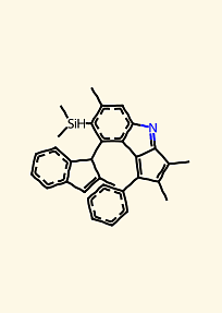 CC1=Cc2ccccc2C1c1c2c(cc(C)c1[SiH](C)C)N=C1C(C)=C(C)C(c3ccccc3)=C12